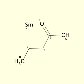 CCCC(=O)O.[Sm]